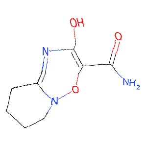 NC(=O)C1=C(O)N=C2CCCCN2O1